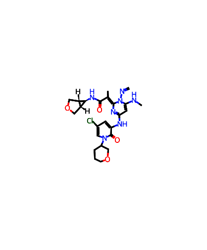 C=NN1C(NC)=CC(Nc2cc(Cl)cn(C3CCCOC3)c2=O)=N/C1=C(/C)C(=O)N[C@H]1[C@@H]2COC[C@@H]21